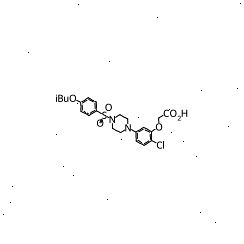 CC(C)COc1ccc(S(=O)(=O)N2CCN(c3ccc(Cl)c(OCC(=O)O)c3)CC2)cc1